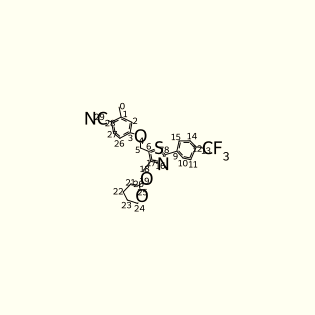 Cc1cc(OCc2sc(-c3ccc(C(F)(F)F)cc3)nc2COC2CCCCO2)ccc1C#N